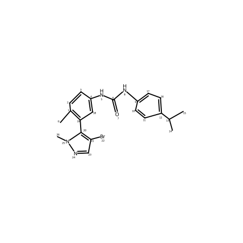 Cc1ccc(NC(=O)Nc2ccc(C(C)C)cc2)cc1-c1c(Br)cnn1C